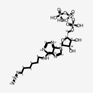 [N-]=[N+]=NCCCCCCNc1ncnc2c1ncn2[C@@H]1O[C@H](COP(=O)(O)OP(=O)(O)OP(=O)(O)O)[C@@H](O)[C@H]1O